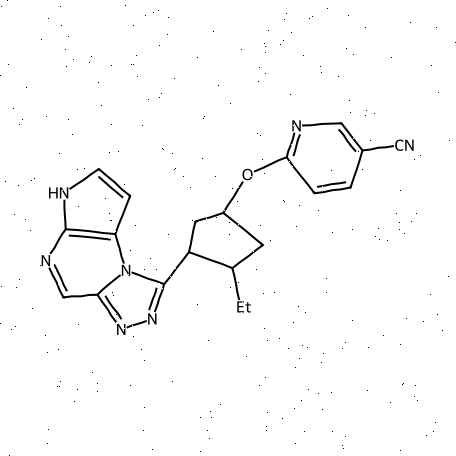 CCC1CC(Oc2ccc(C#N)cn2)CC1c1nnc2cnc3[nH]ccc3n12